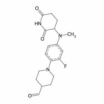 CN(c1ccc(N2CCC(C=O)CC2)c(F)c1)C1CCC(=O)NC1=O